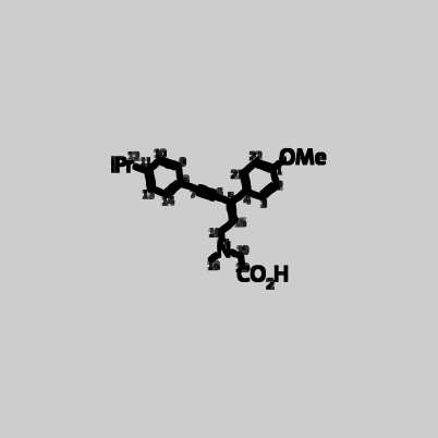 COc1ccc(C(C#Cc2ccc(C(C)C)cc2)=CCN(C)CC(=O)O)cc1